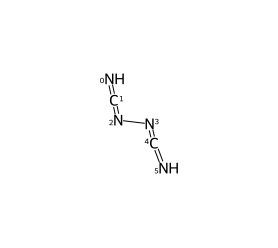 N=C=NN=C=N